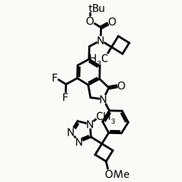 COC1CC(c2cccc(N3Cc4c(cc(CN(C(=O)OC(C)(C)C)C5(C)CCC5)cc4C(F)F)C3=O)c2)(c2nncn2C)C1